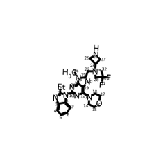 CCc1nc2ccccc2n1-c1nc(N2CCOCC2)c2nc(C[N+]3(C4CNC4)CC(F)(F)C3)n(C)c2n1